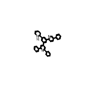 C1=CCC(c2cc(-c3cc(-c4ccccc4)nc(-c4ccccc4)c3)cc(-c3ccc(-c4ccccc4)cn3)c2)NC1